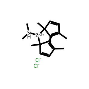 CC1=C(C)[C](C)([Zr+2]([SiH](C)C)[C]2(C)C=CC(C)=C2C)C=C1.[Cl-].[Cl-]